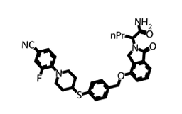 CCCC(C(N)=O)N1Cc2c(OCc3ccc(SC4CCN(c5ccc(C#N)cc5F)CC4)cc3)cccc2C1=O